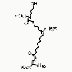 CCCCCCCCC(CCCCCC)COC(=O)CCCCCCCN(CCCCCCC)CCCCC(=O)N(CCCO)CCCCCCCC